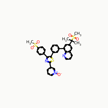 CC(C)(c1cc(-c2cccc(-c3sc(-c4ccc[n+]([O-])c4)nc3-c3ccc(S(C)(=O)=O)cc3)c2)c2ncccc2c1)S(C)(=O)=O